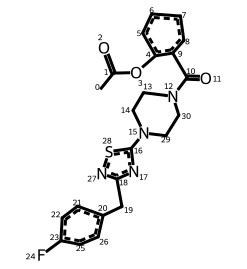 CC(=O)Oc1ccccc1C(=O)N1CCN(c2nc(Cc3ccc(F)cc3)ns2)CC1